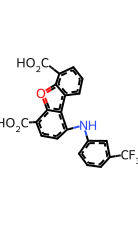 O=C(O)c1cccc2c1oc1c(C(=O)O)ccc(Nc3cccc(C(F)(F)F)c3)c12